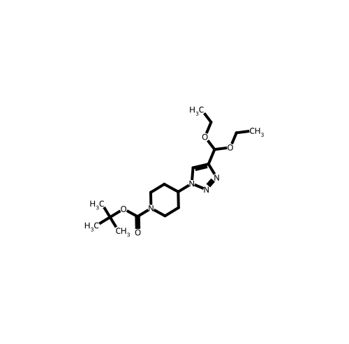 CCOC(OCC)c1cn(C2CCN(C(=O)OC(C)(C)C)CC2)nn1